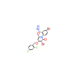 CNC(=O)c1cc(Br)ccc1-n1c(C)cc(OCc2ccc(F)cc2F)c(Br)c1=O